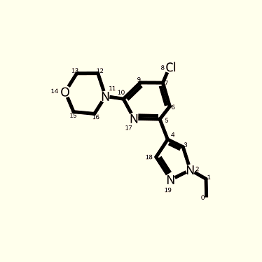 CCn1cc(-c2cc(Cl)cc(N3CCOCC3)n2)cn1